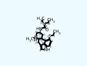 CCSc1ccc2[nH]cc3c2c1C1C[C@H](NC(=O)N(CC)CC)CN(C)[C@@H]1C3